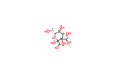 O=CC1(O)O[C@H](CO)[C@@H](O)[C@H](O)[C@]1(O)C=O